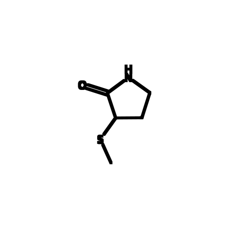 CSC1CCNC1=O